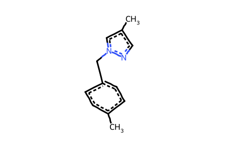 Cc1ccc(Cn2cc(C)cn2)cc1